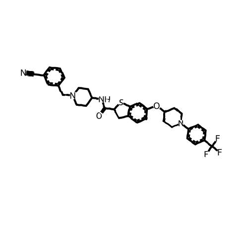 N#Cc1cccc(CN2CCC(NC(=O)C3Cc4ccc(OC5CCN(c6ccc(C(F)(F)F)cc6)CC5)cc4S3)CC2)c1